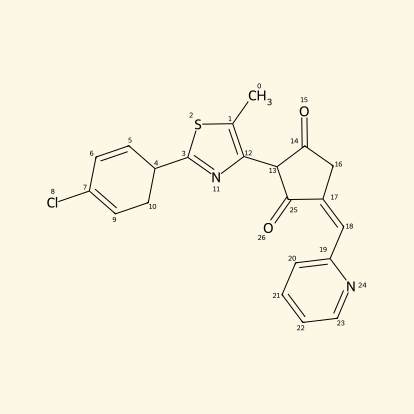 Cc1sc(C2C=CC(Cl)=CC2)nc1C1C(=O)C/C(=C/c2ccccn2)C1=O